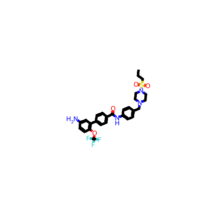 CCCS(=O)(=O)N1CCN(Cc2ccc(NC(=O)c3ccc(-c4cc(N)ccc4OC(F)(F)F)cc3)cc2)CC1